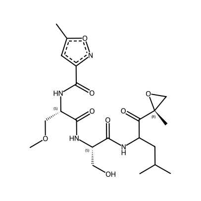 COC[C@H](NC(=O)c1cc(C)on1)C(=O)N[C@@H](CO)C(=O)NC(CC(C)C)C(=O)[C@@]1(C)CO1